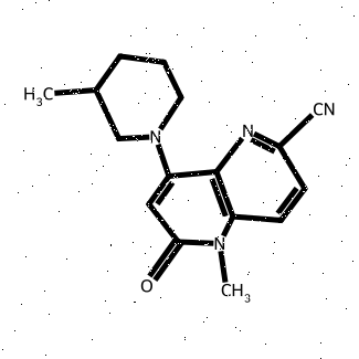 CC1CCCN(c2cc(=O)n(C)c3ccc(C#N)nc23)C1